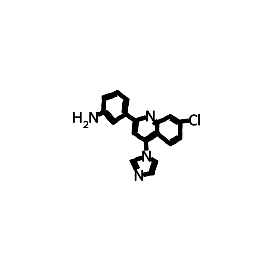 Nc1cccc(-c2cc(-n3ccnc3)c3ccc(Cl)cc3n2)c1